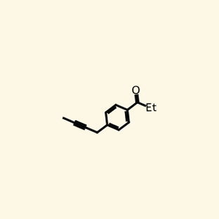 CC#CCc1ccc(C(=O)CC)cc1